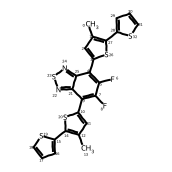 Cc1cc(-c2c(F)c(F)c(-c3cc(C)c(-c4cccs4)s3)c3nsnc23)sc1-c1cccs1